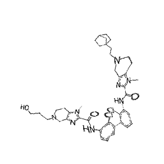 Cn1c(C(=O)Nc2cccc(-c3cccc(NC(=O)c4nc5c(n4C)CCN(CCC46CCC(CC4)C6)C5)c3Cl)c2Cl)nc2c1CCN(CCCO)C2